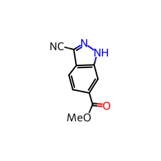 COC(=O)c1ccc2c(C#N)n[nH]c2c1